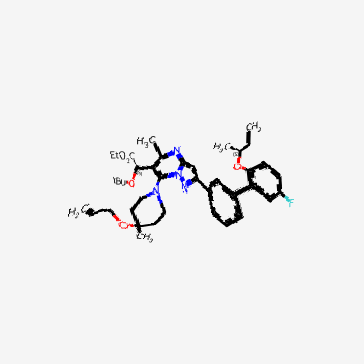 C=CCOC1(C)CCN(c2c([C@H](OC(C)(C)C)C(=O)OCC)c(C)nc3cc(-c4cccc(-c5cc(F)ccc5O[C@@H](C)C=C)c4)nn23)CC1